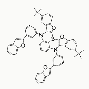 CC(C)(C)c1ccc2oc3c(c2c1)N(c1cccc(-c2cc4ccccc4o2)c1)c1cccc2c1B3c1oc3ccc(C(C)(C)C)cc3c1N2c1cccc(-c2cc3ccccc3o2)c1